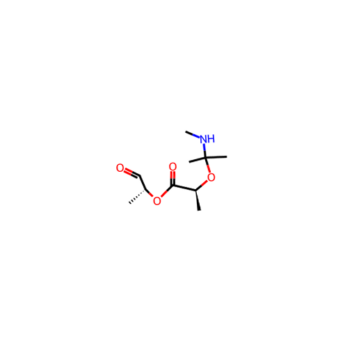 CNC(C)(C)O[C@@H](C)C(=O)O[C@H](C)C=O